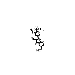 CC(C)(C)c1ncc(-c2nc3n(c(=O)c2C#N)C[C@H](CO)CS3)cc1F